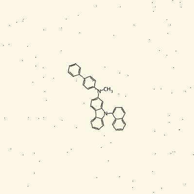 CN(c1ccc(-c2ccccc2)cc1)c1ccc2c3ccccc3n(-c3cccc4ccccc34)c2c1